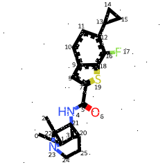 CC1(C)C(NC(=O)c2cc3ccc(C4CC4)c(F)c3s2)C2CCN1CC2